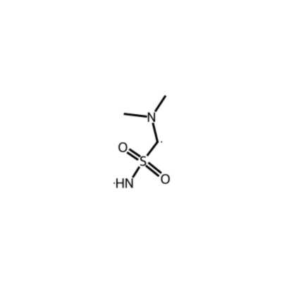 CN(C)[CH]S([NH])(=O)=O